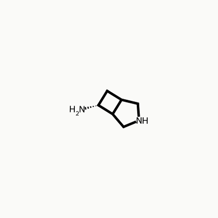 N[C@@H]1CC2CNCC21